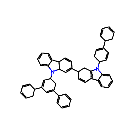 C1=CCC(C2=CCC(n3c4c(c5ccccc53)C=CC(C3=CC5C(C=C3)c3ccccc3N5C3C=C(C5C=CC=CC5)C=C(c5ccccc5)C3)C4)C=C2)C=C1